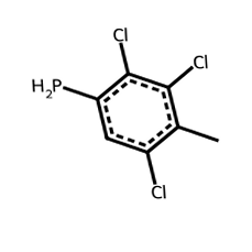 Cc1c(Cl)cc(P)c(Cl)c1Cl